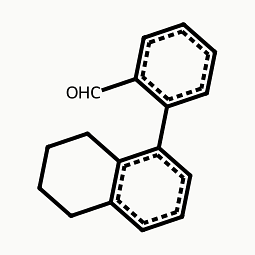 O=Cc1ccccc1-c1cccc2c1CCCC2